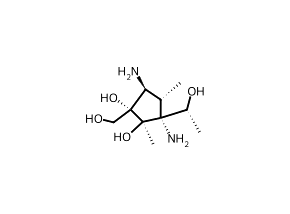 C[C@@H](O)[C@]1(N)[C@@H](C)[C@H](N)[C@](O)(CO)[C@]1(C)O